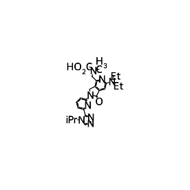 CCN(CC)c1cc2c(c(CN(C)C(=O)O)n1)CN(c1cccc(-c3nncn3C(C)C)n1)C2=O